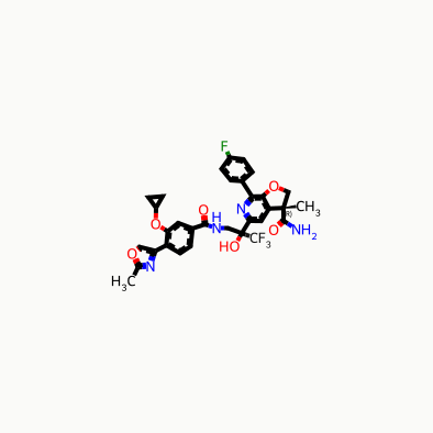 Cc1nc(-c2ccc(C(=O)NCC(O)(c3cc4c(c(-c5ccc(F)cc5)n3)OC[C@]4(C)C(N)=O)C(F)(F)F)cc2OC2CC2)co1